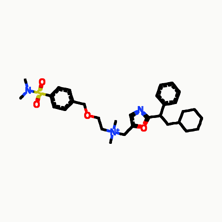 CN(C)S(=O)(=O)c1ccc(COCC[N+](C)(C)Cc2cnc(C(CC3CCCCC3)c3ccccc3)o2)cc1